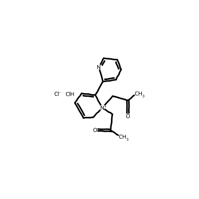 CC(=O)C[N+]1(CC(C)=O)CC=CC=C1c1ccccn1.Cl.[Cl-]